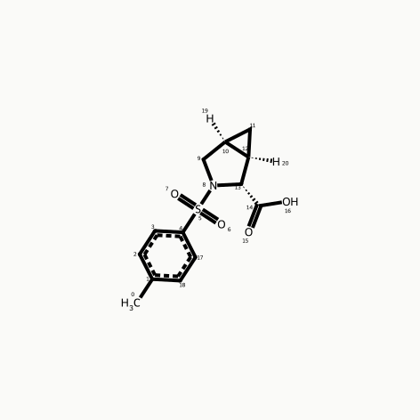 Cc1ccc(S(=O)(=O)N2C[C@H]3C[C@H]3[C@@H]2C(=O)O)cc1